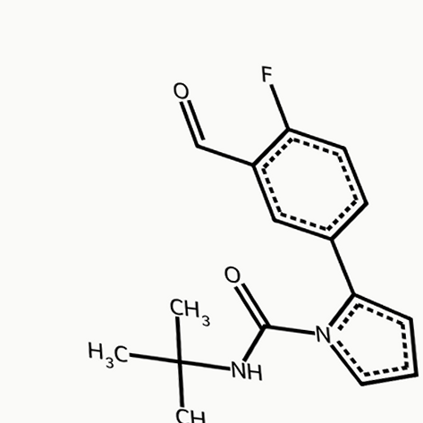 CC(C)(C)NC(=O)n1cccc1-c1ccc(F)c(C=O)c1